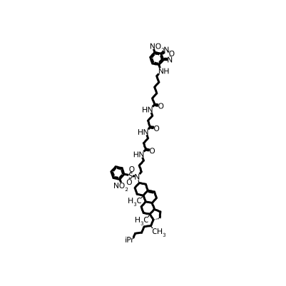 CC(C)CCC[C@@H](C)[C@H]1CCC2C3CC=C4C[C@@H](N(CCCNC(=O)CCNC(=O)CCNC(=O)CCCCCNc5ccc([N+](=O)[O-])c6nonc56)S(=O)(=O)c5ccccc5[N+](=O)[O-])CC[C@]4(C)C3CC[C@@]21C